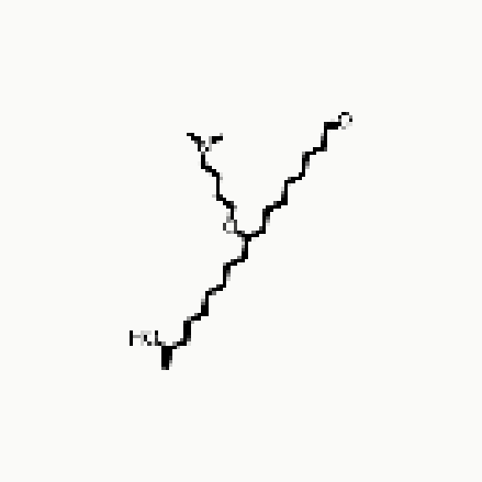 C=C(O)CCCCCCCC(CCCCCCCC=O)OCCCCN(C)C